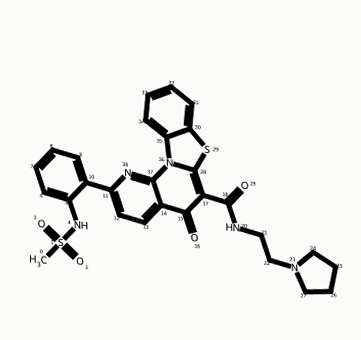 CS(=O)(=O)Nc1ccccc1-c1ccc2c(=O)c(C(=O)NCCN3CCCC3)c3sc4ccccc4n3c2n1